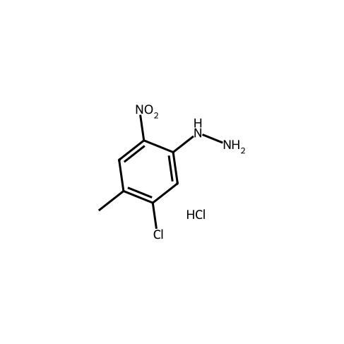 Cc1cc([N+](=O)[O-])c(NN)cc1Cl.Cl